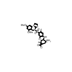 COc1ccc(CN(c2nccs2)S(=O)(=O)c2cc(Cl)c(NC3C[C@@H]4C(C[C@@H]3N)C4(Cl)Cl)cc2F)c(OC)c1